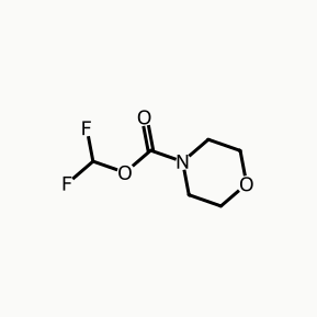 O=C(OC(F)F)N1CCOCC1